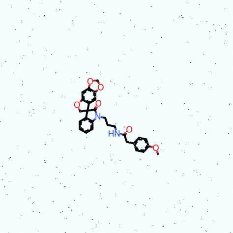 COc1ccc(CC(=O)NCCCN2C(=O)C3(COc4cc5c(cc43)OCO5)c3ccccc32)cc1